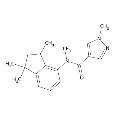 CC1CC(C)(C)c2cccc(N(C(=O)c3cnn(C)c3)C(F)(F)F)c21